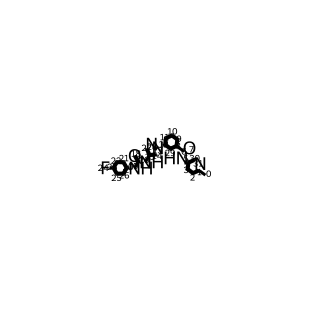 Cc1ccc(NC(=O)c2cccc(-n3cc(NC(=O)Nc4ccc(F)cc4)cn3)c2)cn1